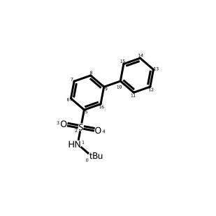 CC(C)(C)NS(=O)(=O)c1[c]ccc(-c2ccccc2)c1